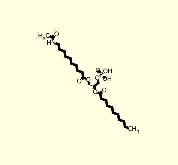 CCCCCCCCCCC(=O)O[C@H](COC(=O)CCCCCCCCCNC(C)=O)COP(=O)(O)O